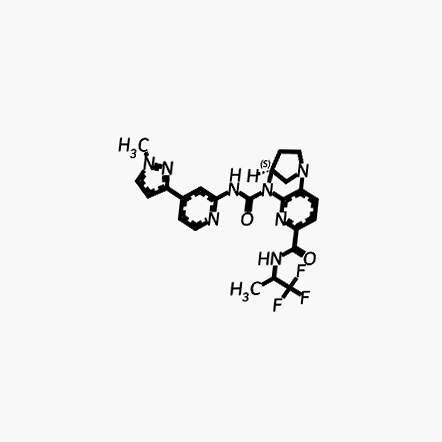 CC(NC(=O)c1ccc2c(n1)N(C(=O)Nc1cc(-c3ccn(C)n3)ccn1)[C@H]1CCN2C1)C(F)(F)F